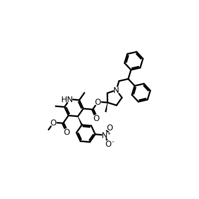 COC(=O)C1=C(C)NC(C)=C(C(=O)O[C@@]2(C)CCN(CC(c3ccccc3)c3ccccc3)C2)[C@H]1c1cccc([N+](=O)[O-])c1